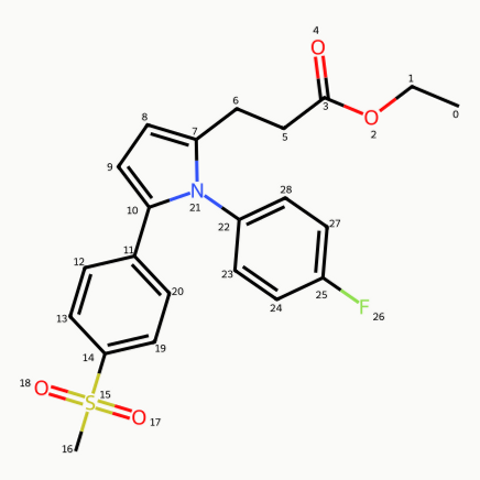 CCOC(=O)CCc1ccc(-c2ccc(S(C)(=O)=O)cc2)n1-c1ccc(F)cc1